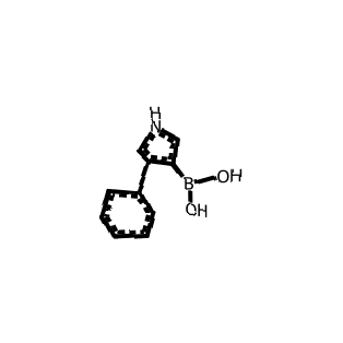 OB(O)c1c[nH]cc1-c1ccccc1